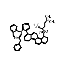 C=CC(CCN(C)C)S(=O)(=O)C1CCC=c2ccc3c(c21)CC=c1c(-c2ccccc2N2C=C(Cc4ccccc4)N=Cc4ccccc42)cccc1=3